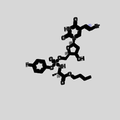 CCCCOC(=O)[C@H](C)NP(=O)(OC[C@H]1O[C@@H](n2cc(/C=C/Br)c(=O)[nH]c2=O)CC1O)Oc1ccc(F)cc1